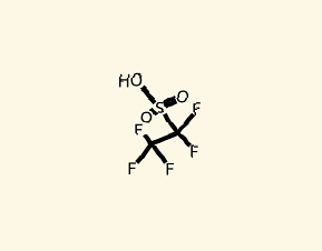 O=S(=O)(O)C(F)(F)C(F)(F)F